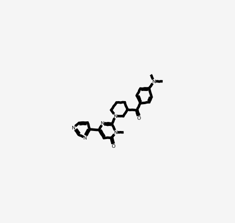 CN(C)c1ccc(C(=O)C2CCCN(c3nc(-c4ccncn4)cc(=O)n3C)C2)cc1